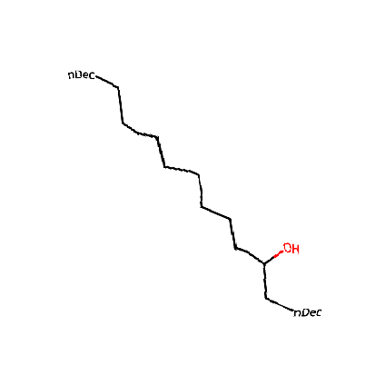 CCCCCCCCCCCCCCCCCCC(O)CCCCCCCCCCC